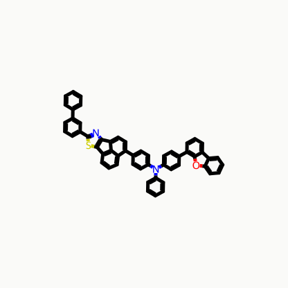 c1ccc(-c2cccc(-c3nc4c(s3)-c3cccc5c(-c6ccc(N(c7ccccc7)c7ccc(-c8cccc9c8oc8ccccc89)cc7)cc6)ccc-4c35)c2)cc1